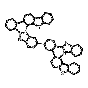 c1ccc2c(c1)nc1c3ccc(-c4ccc5nc6c7ccccc7c7ccc8c9ccccc9sc8c7n6c5c4)cc3c3ccc4sc5ccccc5c4c3n21